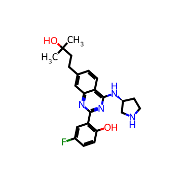 CC(C)(O)CCc1ccc2c(N[C@H]3CCNC3)nc(-c3cc(F)ccc3O)nc2c1